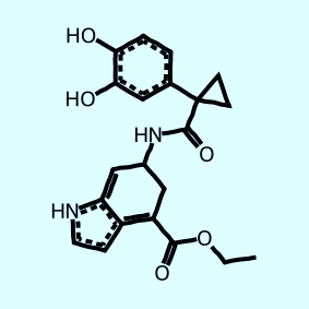 CCOC(=O)C1=c2cc[nH]c2=CC(NC(=O)C2(c3ccc(O)c(O)c3)CC2)C1